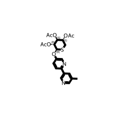 CC(=O)O[C@@H]1[C@@H](OC(C)=O)[C@H](OC(C)=O)CS[C@H]1Oc1ccc(-c2cncc(C)c2)nc1